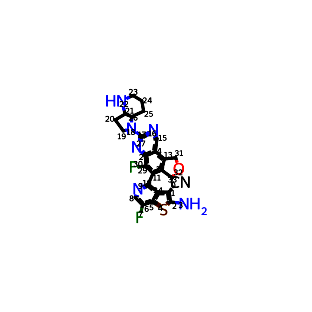 N#Cc1c(N)sc2c(F)cnc(-c3c4c(c5cnc(N6CCC7NCCCC76)nc5c3F)COC4)c12